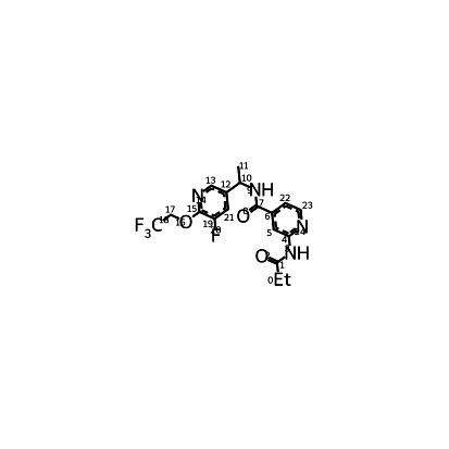 CCC(=O)Nc1cc(C(=O)NC(C)c2cnc(OCC(F)(F)F)c(F)c2)ccn1